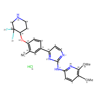 COc1ccc(Nc2nccc(-c3ccc(OC4CCNCC4(F)F)c(C#N)c3)n2)nc1OC.Cl